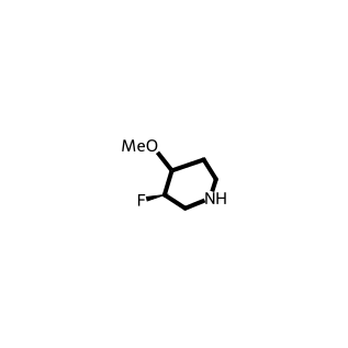 COC1CCNC[C@H]1F